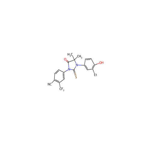 CCc1cc(N2C(=S)N(c3ccc(C#N)c(C(F)(F)F)c3)C(=O)C2(C)C)ccc1O